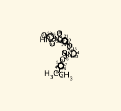 CC(C)c1ccc(OCC(=O)N2CCCC[C@@H]2COc2ccc3c(c2)CN(C2CCC(=O)NC2=O)C3=O)cc1